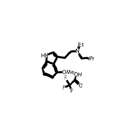 CCN(CCc1c[nH]c2cccc(OC)c12)CC(C)C.O=C(O)C(F)(F)F